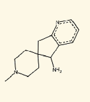 CN1CCC2(CC1)Cc1ncccc1C2N